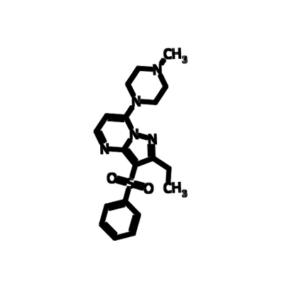 CCc1nn2c(N3CCN(C)CC3)ccnc2c1S(=O)(=O)c1ccccc1